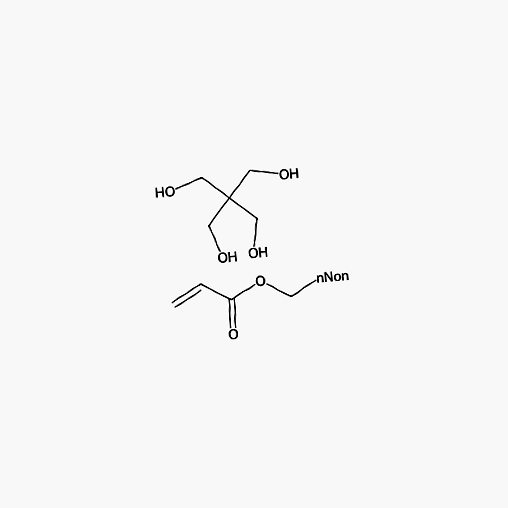 C=CC(=O)OCCCCCCCCCC.OCC(CO)(CO)CO